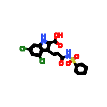 O=C(C=Cc1c(C(=O)O)[nH]c2cc(Cl)cc(Cl)c12)NS(=O)(=O)c1ccccc1